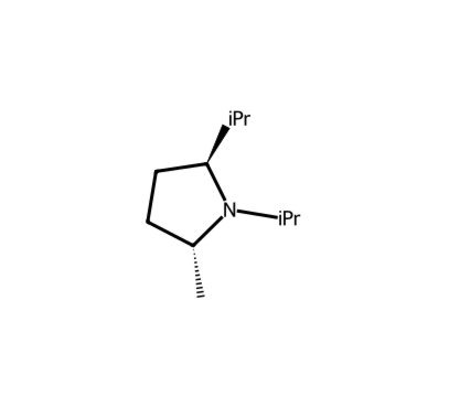 CC(C)[C@@H]1CC[C@@H](C)N1C(C)C